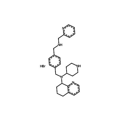 Br.c1ccc(CNCc2ccc(CN(C3CCNCC3)C3CCCc4cccnc43)cc2)nc1